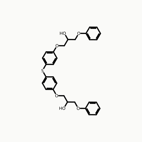 OC(COc1ccccc1)COc1ccc(Sc2ccc(OCC(O)COc3ccccc3)cc2)cc1